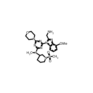 COc1cccc2c1nc(CN)n2-c1nc(N2CCOCC2)nc(N(C)C2CCCN(S(C)(=O)=O)C2)n1